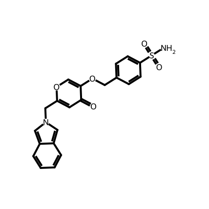 NS(=O)(=O)c1ccc(COc2coc(Cn3cc4ccccc4c3)cc2=O)cc1